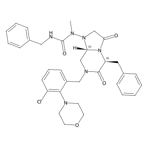 CN(C(=O)NCc1ccccc1)N1CC(=O)N2[C@@H](Cc3ccccc3)C(=O)N(Cc3cccc(Cl)c3N3CCOCC3)C[C@@H]21